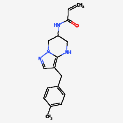 C=CC(=O)NC1CNc2c(Cc3ccc(C(F)(F)F)cc3)cnn2C1